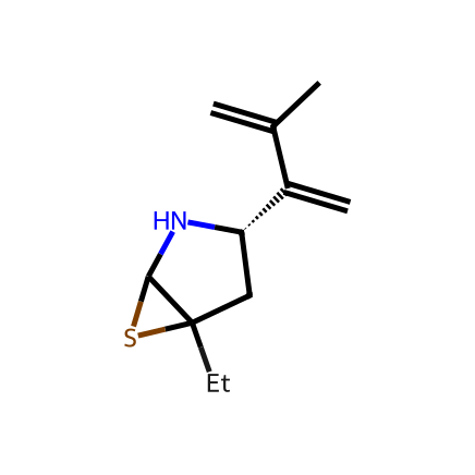 C=C(C)C(=C)[C@@H]1CC2(CC)SC2N1